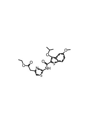 CCOC(=O)Cc1csc(NC(=O)c2sc3ccc(OC)cc3c2OC(C)C)n1